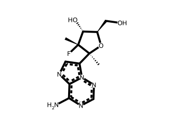 C[C@@]1(c2cnc3c(N)ncnn23)O[C@H](CO)[C@@H](O)[C@@]1(C)F